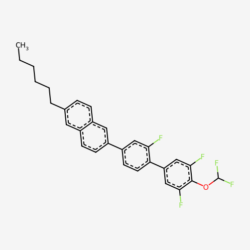 CCCCCCc1ccc2cc(-c3ccc(-c4cc(F)c(OC(F)F)c(F)c4)c(F)c3)ccc2c1